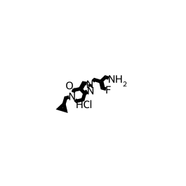 Cl.NCC(=CF)Cn1cc2c(n1)CCN(CC1CC1)C2=O